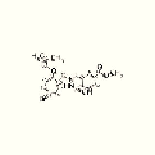 C#CNN(/C=C1/C=C(C(=O)OC)C=CC1)CC1=CCC(Br)=CC=C1OCC(C)C